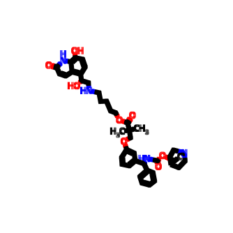 CC(C)(COc1cccc(C(NC(=O)OC2CN3CCC2CC3)c2ccccc2)c1)C(=O)OCCCCCNCC(O)c1ccc(O)c2[nH]c(=O)ccc12